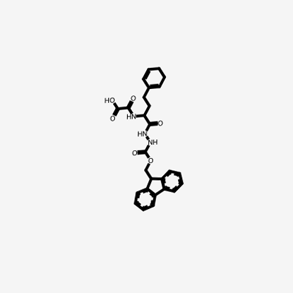 O=C(NNC(=O)C(CCC1=CCCC=C1)NC(=O)C(=O)O)OCC1c2ccccc2-c2ccccc21